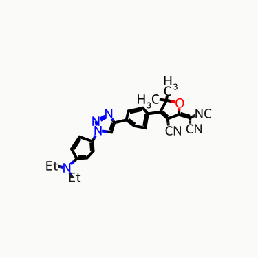 [C-]#[N+]/C(C#N)=C1\OC(C)(C)C(c2ccc(-c3cn(-c4ccc(N(CC)CC)cc4)nn3)cc2)=C1C#N